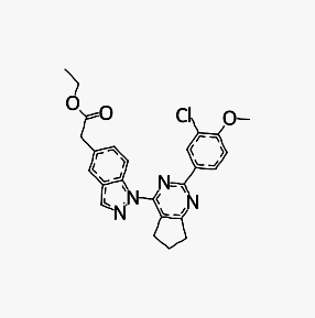 CCOC(=O)Cc1ccc2c(cnn2-c2nc(-c3ccc(OC)c(Cl)c3)nc3c2CCC3)c1